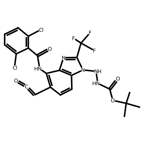 CC(C)(C)OC(=O)NNn1c(C(F)(F)F)nc2c(NC(=O)c3c(Cl)cccc3Cl)c(C=C=O)ccc21